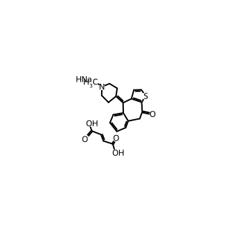 CN1CCC(=C2c3ccccc3CC(=O)c3sccc32)CC1.O=C(O)/C=C/C(=O)O.[NaH]